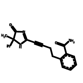 CC(C)C1(C)NC(C#CCCc2ccccc2C(N)=O)=NC1=O